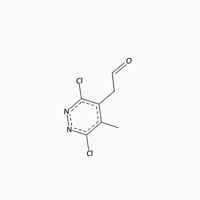 Cc1c(Cl)nnc(Cl)c1CC=O